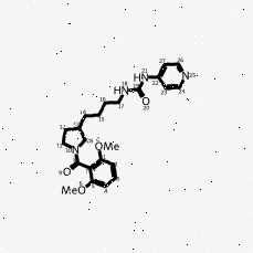 COc1cccc(OC)c1C(=O)N1CCC(CCCCNC(=O)Nc2ccncc2)C1